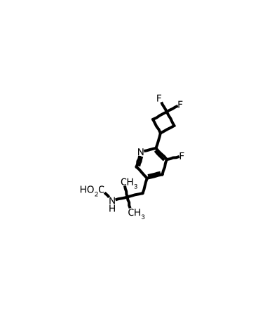 CC(C)(Cc1cnc(C2CC(F)(F)C2)c(F)c1)NC(=O)O